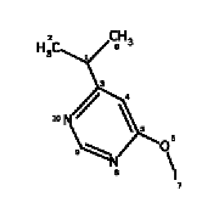 CC(C)c1cc(OI)ncn1